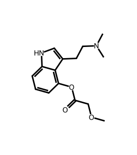 COCC(=O)Oc1cccc2[nH]cc(CCN(C)C)c12